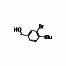 CC(C)(C)c1ccc([CH]O)cc1Br